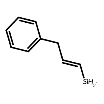 [SiH2]C=CCc1ccccc1